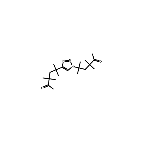 CC(=O)C(C)(C)CC(C)(C)c1cn(C(C)(C)CC(C)(C)C(C)=O)nn1